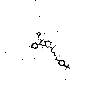 O=C(CCCNCc1ccc(C(F)(F)F)cc1)N1CCc2nc(SC3CCC3)n(-c3ccccc3)c(=O)c2C1